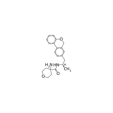 C[C@H](Cc1ccc2c(c1)COc1ccccc1-2)NC(=O)C1(N)CCOCC1